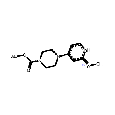 C/N=c1/cc(N2CCN(C(=O)OC(C)(C)C)CC2)cc[nH]1